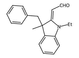 CCN1C(=CC=O)C(C)(Cc2ccccc2)c2ccccc21